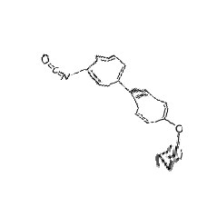 N#COc1ccc(-c2cccc(N=C=O)c2)cc1